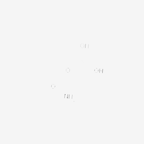 CCON.O=C(O)O